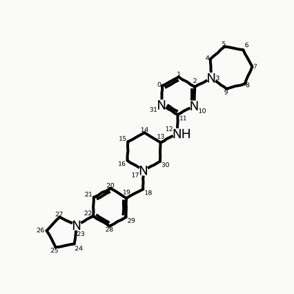 c1cc(N2CCCCCC2)nc(NC2CCCN(Cc3ccc(N4CCCC4)cc3)C2)n1